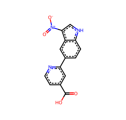 O=C(O)c1ccnc(-c2ccc3[nH]cc([N+](=O)[O-])c3c2)c1